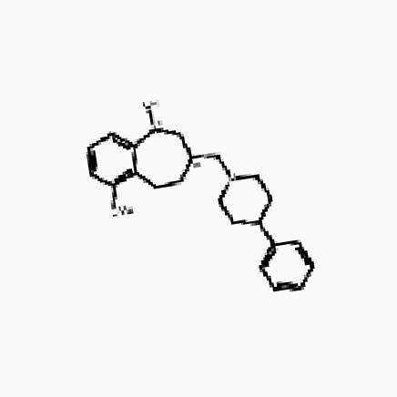 COc1cccc2c1CC[C@H](CN1CCC(c3ccccc3)CC1)C[C@@H]2O